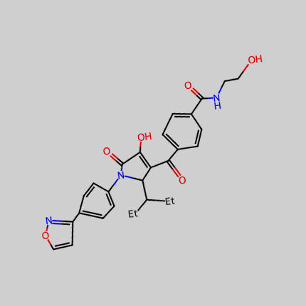 CCC(CC)C1C(C(=O)c2ccc(C(=O)NCCO)cc2)=C(O)C(=O)N1c1ccc(-c2ccon2)cc1